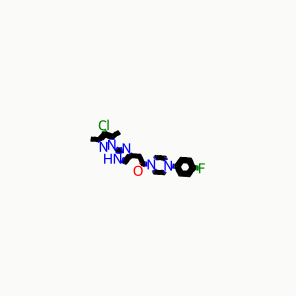 Cc1nn(-c2nc(CC(=O)N3CCN(c4ccc(F)cc4)CC3)c[nH]2)c(C)c1Cl